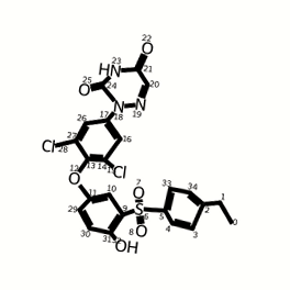 CCc1ccc(S(=O)(=O)c2cc(Oc3c(Cl)cc(-n4ncc(=O)[nH]c4=O)cc3Cl)ccc2O)cc1